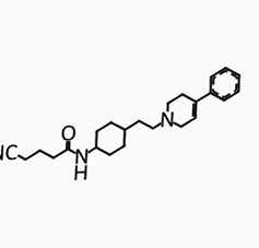 N#CCCCC(=O)NC1CCC(CCN2CC=C(c3ccccc3)CC2)CC1